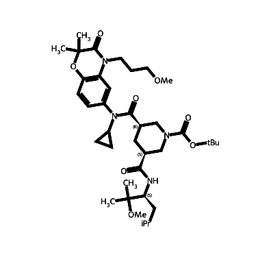 COCCCN1C(=O)C(C)(C)Oc2ccc(N(C(=O)[C@@H]3C[C@H](C(=O)N[C@@H](CC(C)C)C(C)(C)OC)CN(C(=O)OC(C)(C)C)C3)C3CC3)cc21